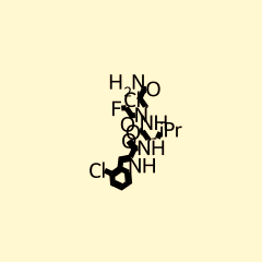 CC(C)C[C@H](NC(=O)c1cc2c(Cl)cccc2[nH]1)C(=O)NN(CCC(N)=O)C(=O)C(F)Cl